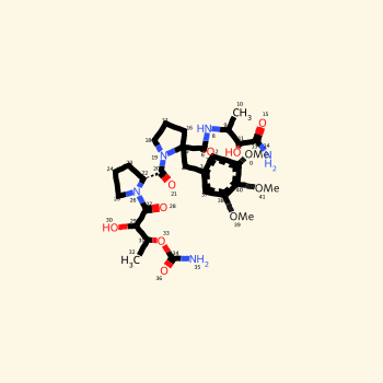 COc1cc(CC2(C(=O)NC(C)C(O)C(N)=O)CCCN2C(=O)[C@H]2CCCN2C(=O)C(O)C(C)OC(N)=O)cc(OC)c1OC